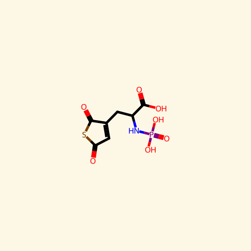 O=C1C=C(CC(NP(=O)(O)O)C(=O)O)C(=O)S1